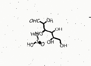 O=CC(O)C(O)C(O)C(O)CO.O=S(O)O